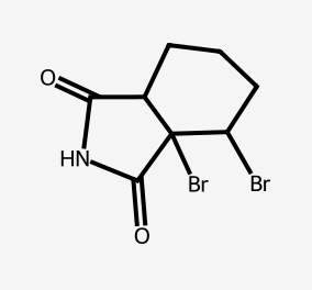 O=C1NC(=O)C2(Br)C(Br)CCCC12